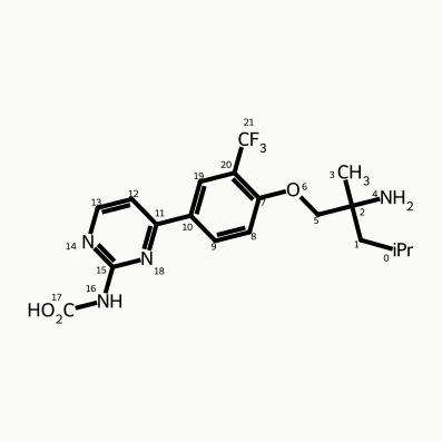 CC(C)CC(C)(N)COc1ccc(-c2ccnc(NC(=O)O)n2)cc1C(F)(F)F